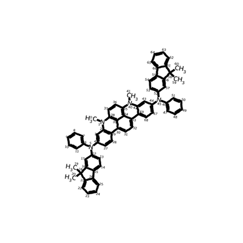 CN1c2cc(N(c3ccccc3)c3ccc4c(c3)C(C)(C)c3ccccc3-4)ccc2-c2ccc3c4c(ccc1c24)N(C)c1cc(N(c2ccccc2)c2ccc4c(c2)C(C)(C)c2ccccc2-4)ccc1-3